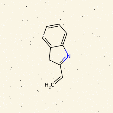 C=CC1=Nc2ccccc2C1